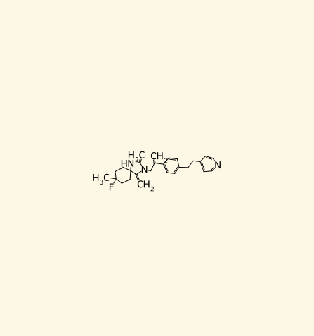 C=C(CN1C(=C)NC2(CCC(C)(F)CC2)C1=C)c1ccc(CCc2ccncc2)cc1